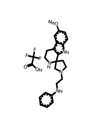 COc1ccc2[nH]c3c(c2c1)CCNC31CCN(CCNc2ccccc2)C1.O=C(O)C(F)(F)F